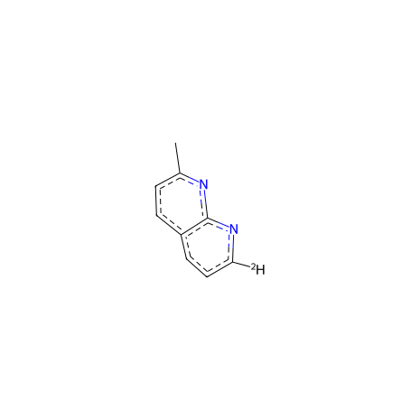 [2H]c1ccc2ccc(C)nc2n1